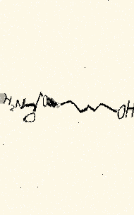 NC(=O)COCCCCCO